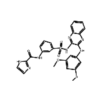 COc1cc(Nc2nc3ccccc3nc2NS(=O)(=O)c2cccc(NC(=O)c3ncc[nH]3)c2)cc(OC)c1